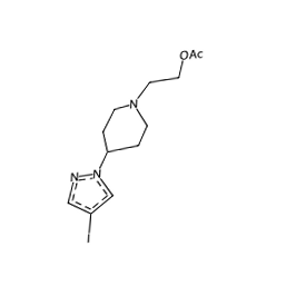 CC(=O)OCCN1CCC(n2cc(I)cn2)CC1